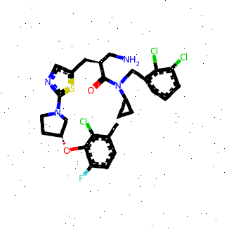 Cc1ccc(F)c(O[C@@H]2CCN(c3ncc(C[C@@H](CN)C(=O)N(Cc4cccc(Cl)c4Cl)C4CC4)s3)C2)c1Cl